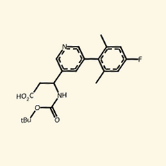 Cc1cc(F)cc(C)c1-c1cncc(C(CC(=O)O)NC(=O)OC(C)(C)C)c1